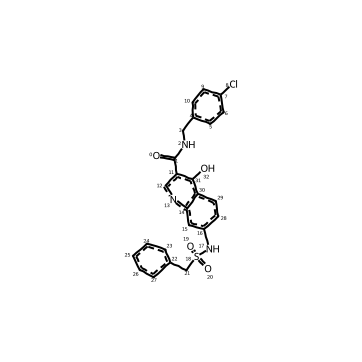 O=C(NCc1ccc(Cl)cc1)c1cnc2cc(NS(=O)(=O)Cc3ccccc3)ccc2c1O